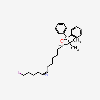 CC(C)(C)[Si](OCCCCCC/C=C\CCCCI)(c1ccccc1)c1ccccc1